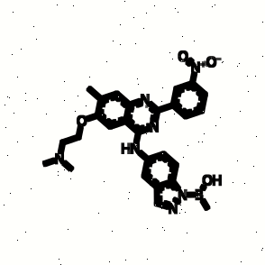 CB(O)n1ncc2cc(Nc3nc(-c4cccc([N+](=O)[O-])c4)nc4cc(C)c(OCCN(C)C)cc34)ccc21